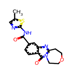 Cc1cnc(NC(=O)c2ccc3c(=O)n4c(nc3c2)CCOCC4)s1